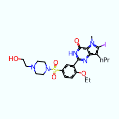 CCCc1c(I)n(C)c2c(=O)[nH]c(-c3cc(S(=O)(=O)N4CCN(CCO)CC4)ccc3OCC)nc12